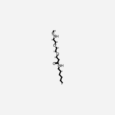 CCCCCCNC(=O)CCOCCOCCNSC